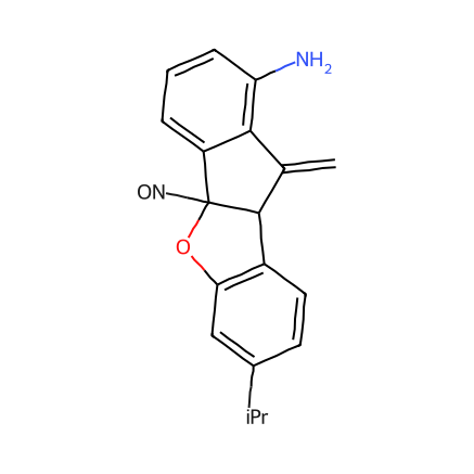 C=C1c2c(N)cccc2C2(N=O)Oc3cc(C(C)C)ccc3C12